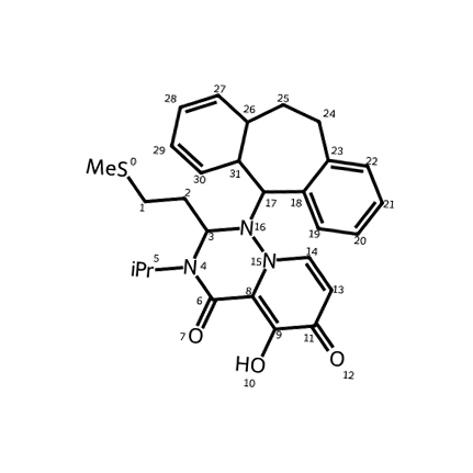 CSCCC1N(C(C)C)C(=O)c2c(O)c(=O)ccn2N1C1c2ccccc2CCC2C=CC=CC21